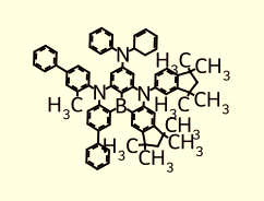 Cc1cc(-c2ccccc2)ccc1N1c2ccc(-c3ccccc3)cc2B2c3cc4c(cc3N(c3ccc5c(c3)C(C)(C)CC5(C)C)c3cc(N(c5ccccc5)C5C=CC=CC5)cc1c32)C(C)(C)CC4(C)C